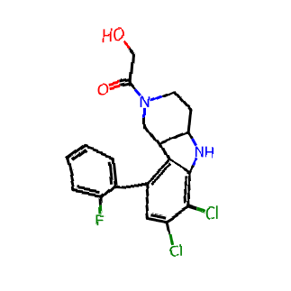 O=C(CO)N1CCC2Nc3c(Cl)c(Cl)cc(-c4ccccc4F)c3C2C1